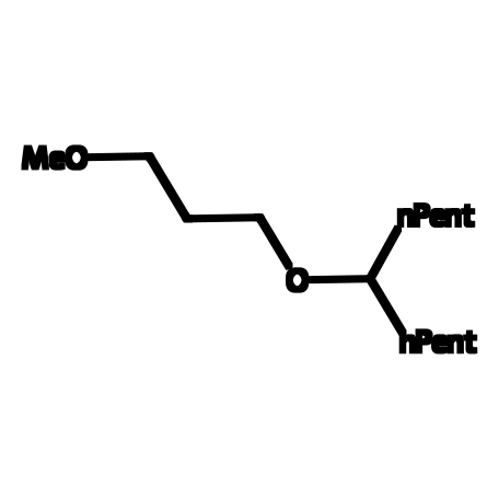 CCCCCC(CCCCC)OCCCOC